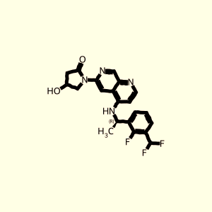 C[C@@H](Nc1ccnc2cnc(N3CC(O)CC3=O)cc12)c1cccc(C(F)F)c1F